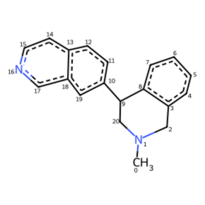 CN1Cc2ccccc2C(c2ccc3ccncc3c2)C1